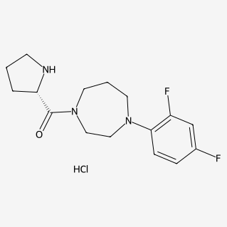 Cl.O=C([C@@H]1CCCN1)N1CCCN(c2ccc(F)cc2F)CC1